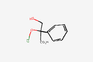 O=C(O)C(CO)(OCl)c1ccccc1